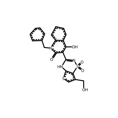 O=c1c(C2=NS(=O)(=O)c3c(CO)csc3N2)c(O)c2ccccc2n1Cc1ccccc1